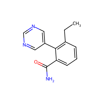 CCc1cccc(C(N)=O)c1-c1cncnc1